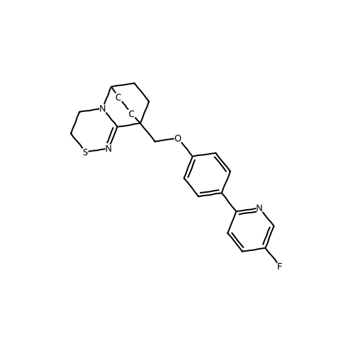 Fc1ccc(-c2ccc(OCC34CCC(CC3)N3CCSN=C34)cc2)nc1